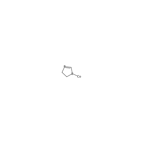 [Co][B]1C=BCC1